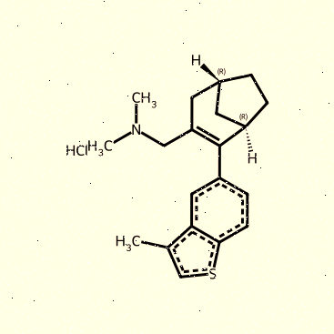 Cc1csc2ccc(C3=C(CN(C)C)C[C@@H]4CC[C@@H]3C4)cc12.Cl